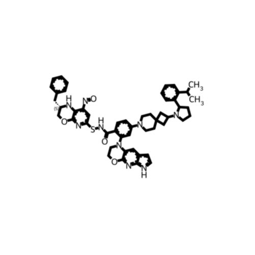 CC(C)c1ccccc1C1CCCN1C1CC2(CCN(c3ccc(C(=O)NSc4cc(N=O)c5c(n4)OC[C@H](Cc4ccccc4)N5)c(N4CCOc5nc6[nH]ccc6cc54)c3)CC2)C1